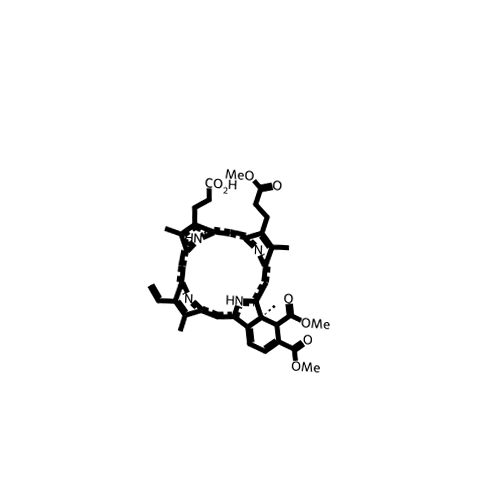 C=CC1=C(C)c2cc3[nH]c(cc4nc(cc5[nH]c(cc1n2)c(C)c5CCC(=O)O)C(CCC(=O)OC)=C4C)[C@]1(C)C3=CC=C(C(=O)OC)C1C(=O)OC